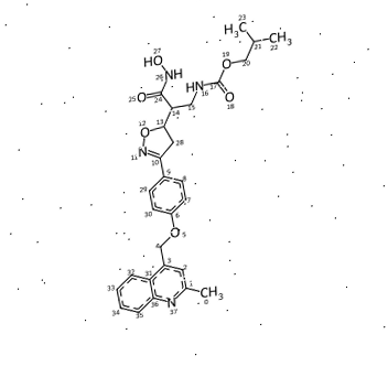 Cc1cc(COc2ccc(C3=NOC(C(CNC(=O)OCC(C)C)C(=O)NO)C3)cc2)c2ccccc2n1